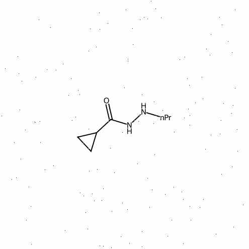 CCCNNC(=O)C1CC1